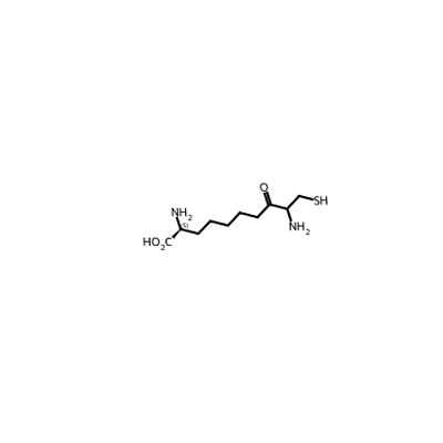 NC(CS)C(=O)CCCCC[C@H](N)C(=O)O